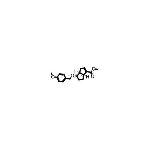 COC(=O)C1=CC[C@@H]2[C@@H](OCc3ccc(OC)cc3)CC[C@H]12